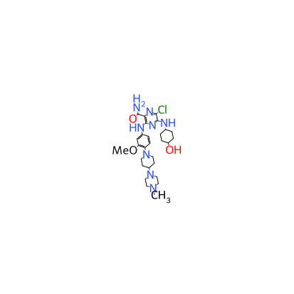 COc1cc(Nc2nc(N[C@H]3CC[C@H](O)CC3)c(Cl)nc2C(N)=O)ccc1N1CCC(N2CCN(C)CC2)CC1